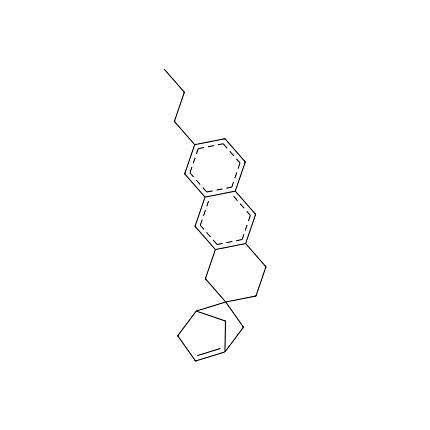 CCCc1ccc2cc3c(cc2c1)CC1(CC3)CC2=CCC1C2